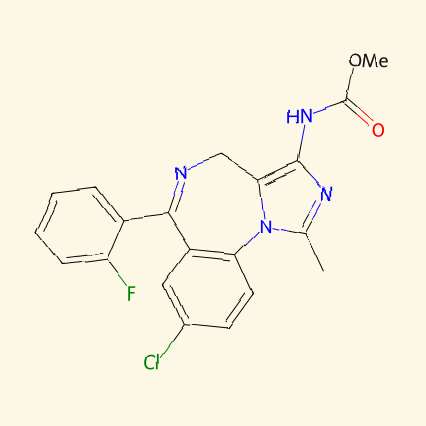 COC(=O)Nc1nc(C)n2c1CN=C(c1ccccc1F)c1cc(Cl)ccc1-2